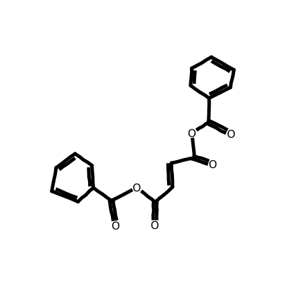 O=C(/C=C/C(=O)OC(=O)c1ccccc1)OC(=O)c1ccccc1